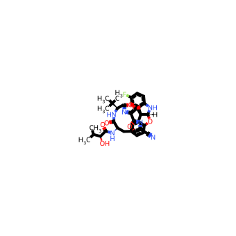 CC(C)[C@H](O)C(=O)N[C@H]1Cc2ccc3c(c2)C2(c4cc(F)ccc4N[C@H]2O3)c2oc(nc2-c2nc(C#N)co2)[C@H](C(C)(C)C)NC1=O